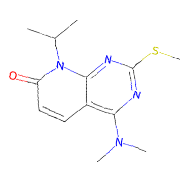 CSc1nc(N(C)C)c2ccc(=O)n(C(C)C)c2n1